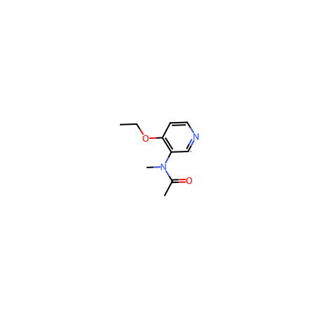 CCOc1ccn[c]c1N(C)C(C)=O